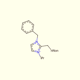 CCCCCCCCCCc1n(Cc2ccccc2)cc[n+]1C(C)C